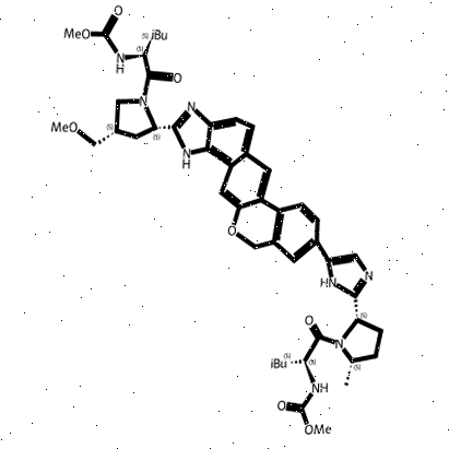 CC[C@H](C)[C@H](NC(=O)OC)C(=O)N1C[C@@H](COC)C[C@H]1c1nc2ccc3cc4c(cc3c2[nH]1)OCc1cc(-c2cnc([C@@H]3CC[C@H](C)N3C(=O)[C@@H](NC(=O)OC)[C@@H](C)CC)[nH]2)ccc1-4